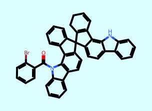 O=C(c1ccccc1Br)n1c2ccccc2c2ccc3c(c21)-c1ccccc1C31C2=C(C=CCC2)c2c1ccc1c2[nH]c2ccccc21